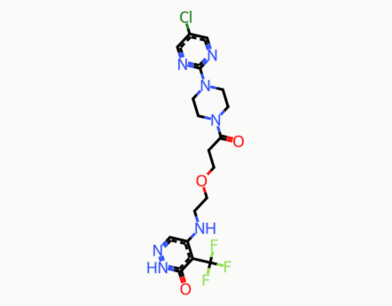 O=C(CCOCCNc1cn[nH]c(=O)c1C(F)(F)F)N1CCN(c2ncc(Cl)cn2)CC1